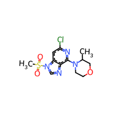 CC1COCCN1c1nc(Cl)cc2c1ncn2S(C)(=O)=O